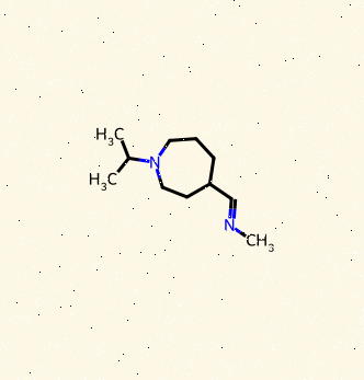 C/N=C/C1CCCN(C(C)C)CC1